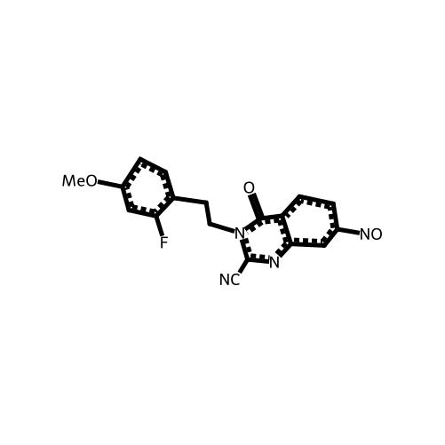 COc1ccc(CCn2c(C#N)nc3cc(N=O)ccc3c2=O)c(F)c1